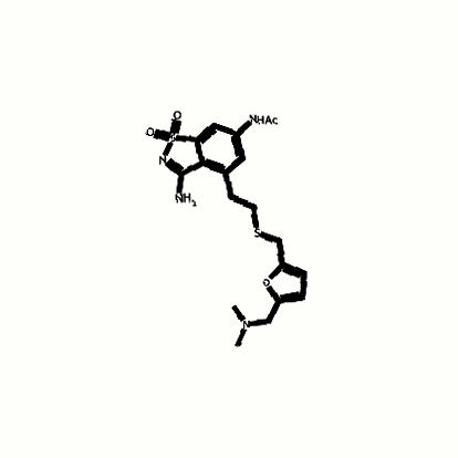 CC(=O)Nc1cc(CCSCc2ccc(CN(C)C)o2)c2c(c1)S(=O)(=O)N=C2N